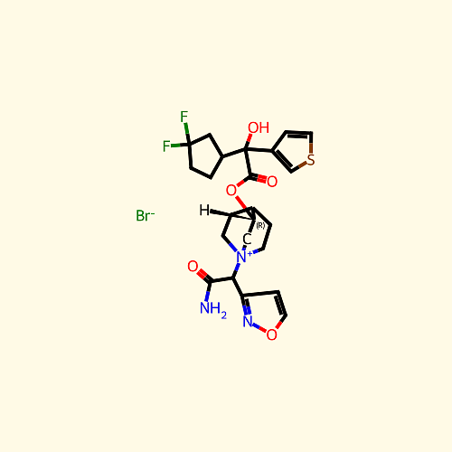 NC(=O)C(c1ccon1)[N+]12CCC(CC1)[C@@H](OC(=O)C(O)(c1ccsc1)C1CCC(F)(F)C1)C2.[Br-]